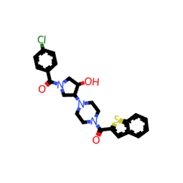 O=C(c1ccc(Cl)cc1)N1CC(O)C(N2CCN(C(=O)c3cc4ccccc4s3)CC2)C1